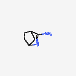 NC1=NC2CCC1C2